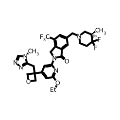 CCOc1cc(C2(Cc3nncn3C)COC2)cc(N2Cc3c(cc(CN4CCC(F)(F)[C@H](C)C4)cc3C(F)(F)F)C2=O)n1